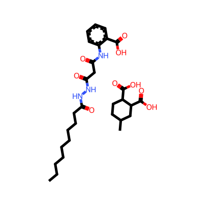 CC1CCC(C(=O)O)C(C(=O)O)C1.CCCCCCCCCC(=O)NNC(=O)CC(=O)Nc1ccccc1C(=O)O